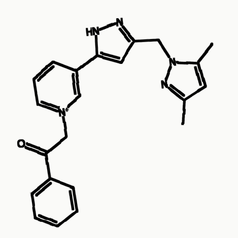 Cc1cc(C)n(Cc2cc(-c3ccc[n+](CC(=O)c4ccccc4)c3)[nH]n2)n1